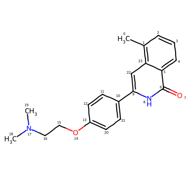 Cc1cccc2c(=O)[nH]c(-c3ccc(OCCN(C)C)cc3)cc12